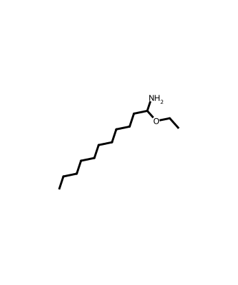 CCCCCCCCCCC(N)OCC